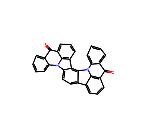 O=c1c2ccccc2n2c3ccc4c5cccc6c(=O)c7ccccc7n(c65)c4c3c3cccc1c32